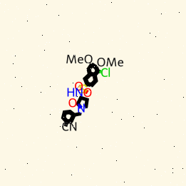 COc1cc2cc(S(=O)(=O)N[C@H]3CCN(Cc4cccc(C#N)c4)C3=O)ccc2c(Cl)c1OC